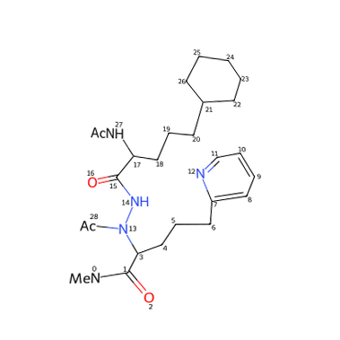 CNC(=O)C(CCCc1ccccn1)N(NC(=O)C(CCCC1CCCCC1)NC(C)=O)C(C)=O